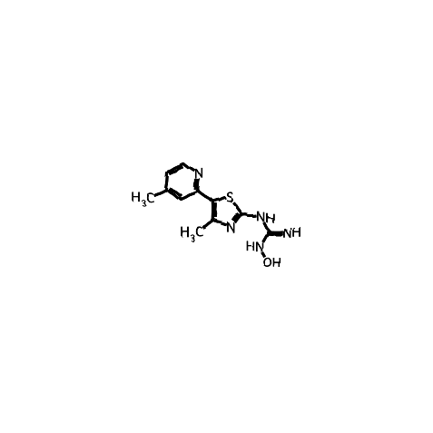 Cc1ccnc(-c2sc(NC(=N)NO)nc2C)c1